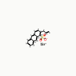 C=CCc1ccc2cc3ccccc3cc2c1S(=O)(=O)[O-].[Na+]